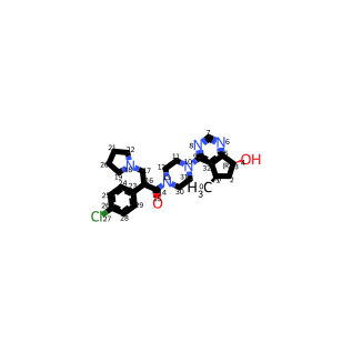 C[C@@H]1C[C@@H](O)c2ncnc(N3CCN(C(=O)C(CN4CCCC4)c4ccc(Cl)cc4)CC3)c21